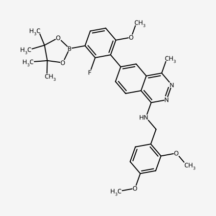 COc1ccc(CNc2nnc(C)c3cc(-c4c(OC)ccc(B5OC(C)(C)C(C)(C)O5)c4F)ccc23)c(OC)c1